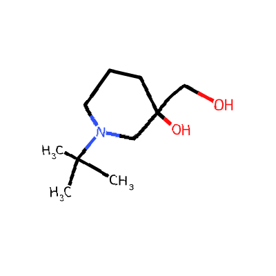 CC(C)(C)N1CCCC(O)(CO)C1